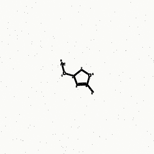 CC(=O)OC1C=C(C)OC1